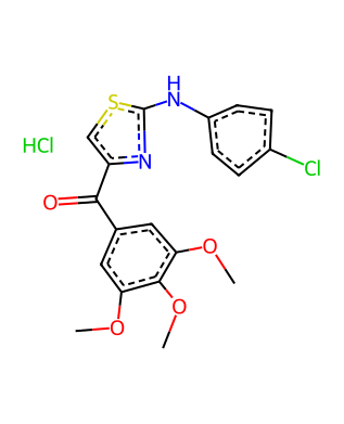 COc1cc(C(=O)c2csc(Nc3ccc(Cl)cc3)n2)cc(OC)c1OC.Cl